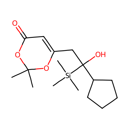 CC1(C)OC(=O)C=C(CC(O)(C2CCCC2)[Si](C)(C)C)O1